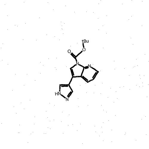 CC(C)(C)OC(=O)n1cc(-c2cn[nH]c2)c2cccnc21